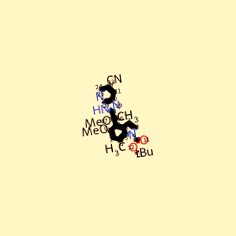 COc1cc(C)c2c(ccn2C(=O)OC(C)(C)C)c1C(C)(OC)c1nc2cc(C#N)cnc2[nH]1